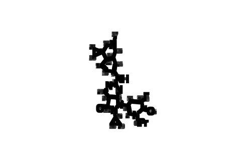 CC(C)n1cc(-n2c3nc(Nc4ccc5c(c4)CN(C)CC54CC4)ncc3c(=O)n2C2CC2)cc(F)c1=O